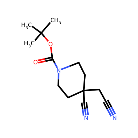 CC(C)(C)OC(=O)N1CCC(C#N)(CC#N)CC1